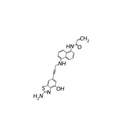 C=CC(=O)Nc1cccc2c(NCC#Cc3cc(O)c4nc(N)sc4c3)cccc12